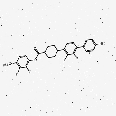 CCc1ccc(-c2ccc(C3CCC(C(=O)Oc4ccc(OC)c(F)c4F)CC3)c(F)c2F)cc1